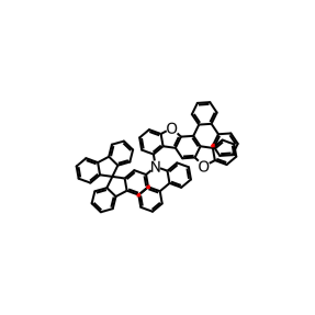 c1ccc(-c2ccccc2-c2c3oc4cccc(N(c5ccc6c(c5)C5(c7ccccc7-c7ccccc75)c5ccccc5-6)c5ccccc5-c5ccccc5)c4c3cc3oc4ccccc4c23)cc1